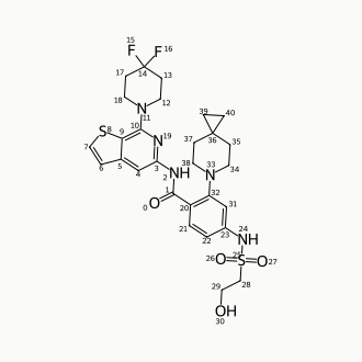 O=C(Nc1cc2ccsc2c(N2CCC(F)(F)CC2)n1)c1ccc(NS(=O)(=O)CCO)cc1N1CCC2(CC1)CC2